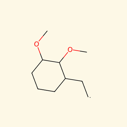 [CH2]CC1CCCC(OC)C1OC